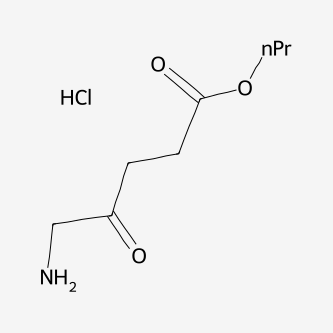 CCCOC(=O)CCC(=O)CN.Cl